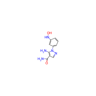 NC(=O)c1cnn(-c2cccc(NO)c2)c1N